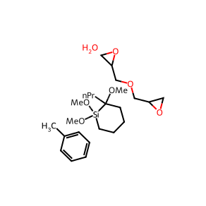 C(OCC1CO1)C1CO1.CCCC1(OC)CCCC[Si]1(OC)OC.Cc1ccccc1.O